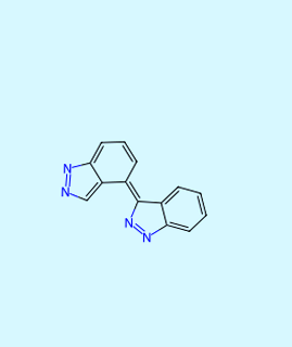 C1=c2c(cccc2=C2N=Nc3ccccc32)N=N1